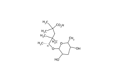 CC1OC(O[C@H](C)C(C)(C)CC(C)(C)C(=O)O)C(O)CC1O